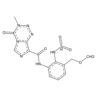 Cn1nnc2c(C(=O)Nc3cccc(COC=O)c3N[SH](=O)=O)ncn2c1=O